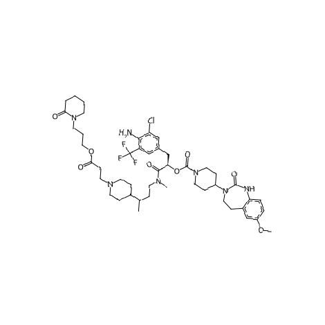 COc1ccc2c(c1)CCN(C1CCN(C(=O)O[C@H](Cc3cc(Cl)c(N)c(C(F)(F)F)c3)C(=O)N(C)CCC(C)C3CCN(CCC(=O)OCCCN4CCCCC4=O)CC3)CC1)C(=O)N2